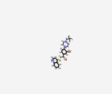 CC(C)(C)CN1CCN(c2ccc(C(=O)CSc3ccnc4ccccc34)cc2Br)CC1